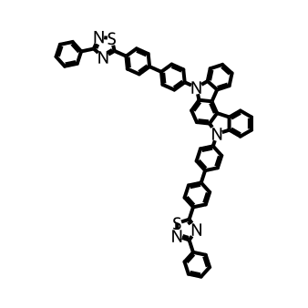 c1ccc(-c2nsc(-c3ccc(-c4ccc(-n5c6ccccc6c6c7c8ccccc8n(-c8ccc(-c9ccc(-c%10nc(-c%11ccccc%11)ns%10)cc9)cc8)c7ccc65)cc4)cc3)n2)cc1